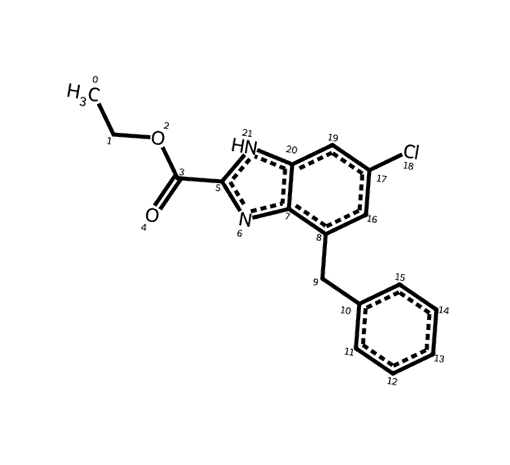 CCOC(=O)c1nc2c(Cc3ccccc3)cc(Cl)cc2[nH]1